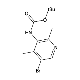 Cc1ncc(Br)c(C)c1NC(=O)OC(C)(C)C